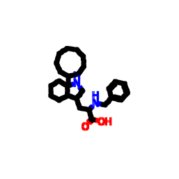 O=C(O)C(CC1CNC2(C3CCCCCCCC3)CCCCC12)NCc1ccccc1